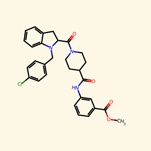 COC(=O)c1cccc(NC(=O)C2CCN(C(=O)C3Cc4ccccc4N3Cc3ccc(Cl)cc3)CC2)c1